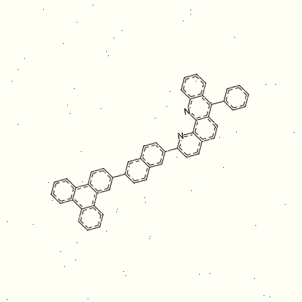 c1ccc(-c2c3ccccc3nc3c2ccc2ccc(-c4ccc5cc(-c6ccc7c8ccccc8c8ccccc8c7c6)ccc5c4)nc23)cc1